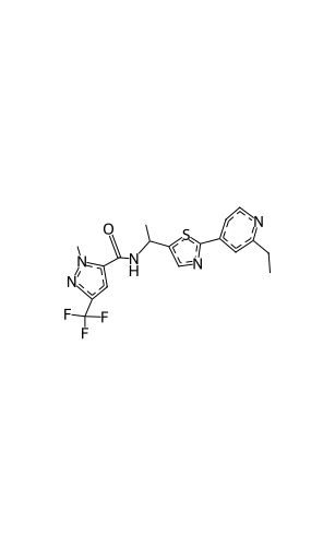 CCc1cc(-c2ncc(C(C)NC(=O)c3cc(C(F)(F)F)nn3C)s2)ccn1